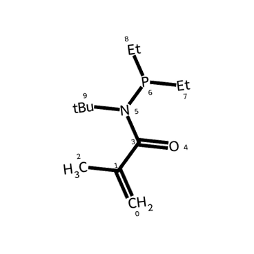 C=C(C)C(=O)N(P(CC)CC)C(C)(C)C